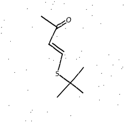 CC(=O)C=CSC(C)(C)C